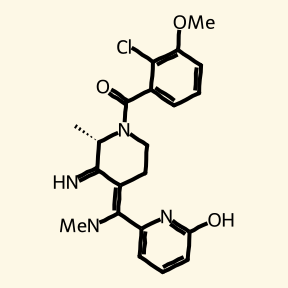 CN/C(=C1/CCN(C(=O)c2cccc(OC)c2Cl)[C@@H](C)C1=N)c1cccc(O)n1